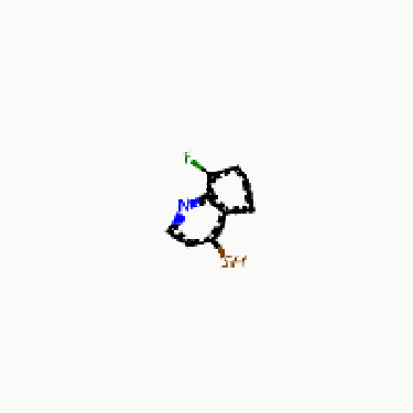 Fc1cccc2c(S)ccnc12